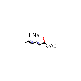 C/C=C/C=C/C(=O)OC(C)=O.[NaH]